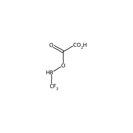 O=C(O)C(=O)OBC(F)(F)F